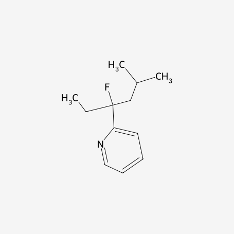 CCC(F)(CC(C)C)c1ccccn1